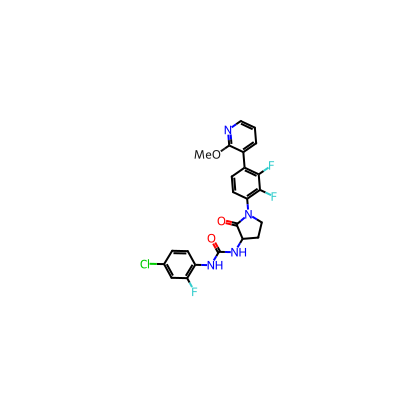 COc1ncccc1-c1ccc(N2CCC(NC(=O)Nc3ccc(Cl)cc3F)C2=O)c(F)c1F